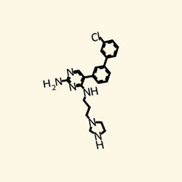 Nc1ncc(-c2cccc(-c3cccc(Cl)c3)c2)c(NCCCN2CCNC2)n1